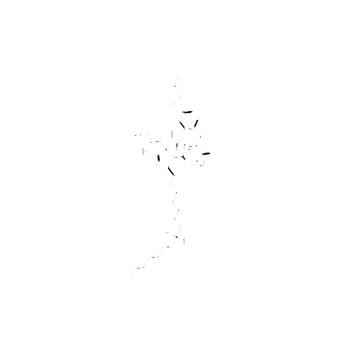 CCCCCCCC(F)(F)CCCCCCC=C[C@H](C(=O)N[C@@H](Cc1ccc(OCCCC)cc1)C(=O)NC)[C@@](O)(CCOC)C(=O)O